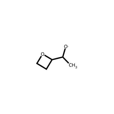 CC([O])C1CCO1